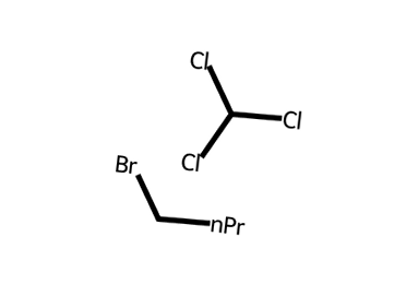 CCCCBr.ClC(Cl)Cl